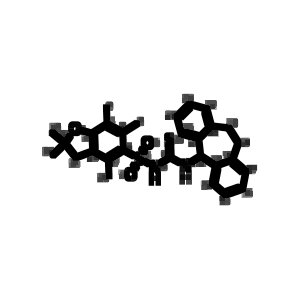 Cc1c(C)c(S(=O)(=O)NC(=S)NC2c3ccccc3CCc3ccccc32)c(C)c2c1OC(C)(C)C2